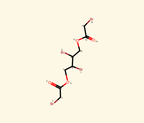 O=C(CBr)OCC(Br)C(Br)COC(=O)CBr